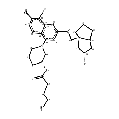 O=C(CCCBr)O[C@@H]1CCCN(c2nc(OC[C@@]34CCCN3C[C@H](F)C4)nc3c(F)c(Cl)ncc23)C1